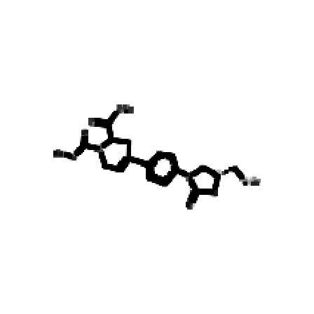 COC(=O)C1CC(c2ccc(N3C[C@H](CNC(C)=O)OC3=O)cc2)=CCN1C(=O)OC(C)(C)C